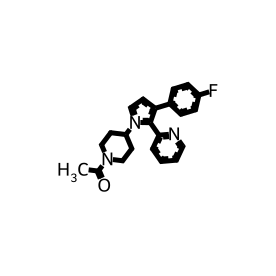 CC(=O)N1CCC(n2ccc(-c3ccc(F)cc3)c2-c2ccccn2)CC1